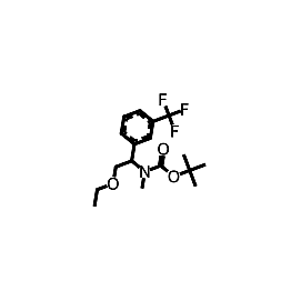 CCOCC(c1cccc(C(F)(F)F)c1)N(C)C(=O)OC(C)(C)C